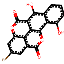 O=c1oc2c3c(O)cccc3c(O)c3c(=O)oc4cc(Br)cc1c4c32